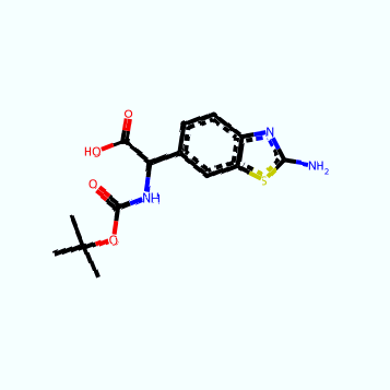 CC(C)(C)OC(=O)NC(C(=O)O)c1ccc2nc(N)sc2c1